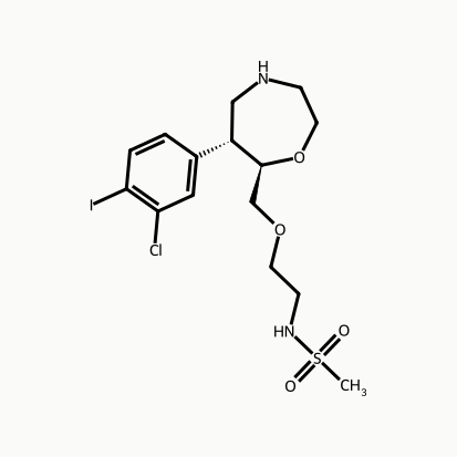 CS(=O)(=O)NCCOC[C@@H]1OCCNC[C@H]1c1ccc(I)c(Cl)c1